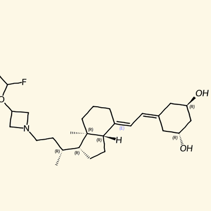 C[C@H](CCN1CC(OC(F)F)C1)[C@H]1CC[C@H]2/C(=C/C=C3C[C@@H](O)C[C@H](O)C3)CCC[C@]12C